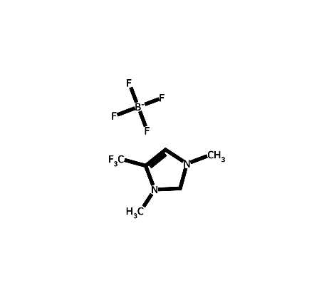 CN1C=C(C(F)(F)F)N(C)C1.F[B-](F)(F)F